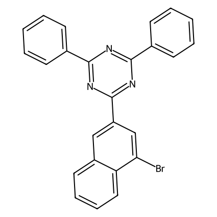 Brc1cc(-c2nc(-c3ccccc3)nc(-c3ccccc3)n2)cc2ccccc12